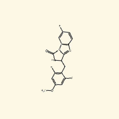 COc1cc(F)c(CC2NC(=O)n3c2nc2ccc(F)cc23)c(F)c1